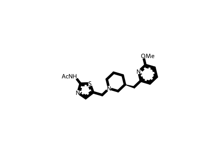 COc1cccc(C[C@@H]2CCCN(Cc3cnc(NC(C)=O)s3)C2)n1